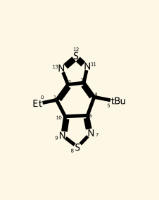 CCc1c2c(c(C(C)(C)C)c3nsnc13)N=S=N2